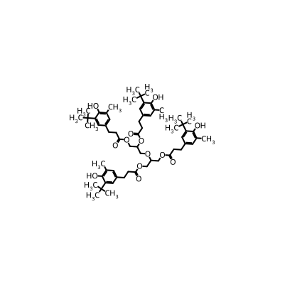 Cc1cc(CCC(=O)OCC(COC(=O)CCc2cc(C)c(O)c(C(C)(C)C)c2)OCC(COC(=O)CCc2cc(C)c(O)c(C(C)(C)C)c2)OC(=O)CCc2cc(C)c(O)c(C(C)(C)C)c2)cc(C(C)(C)C)c1O